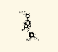 CSc1cc(OC[C@@H]2[C@H]3CC[C@H](c4nc(C(=O)O)cs4)O[C@H]3C[C@@H]2O)ccc1C